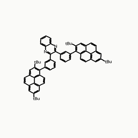 CC(C)(C)c1cc2ccc3cc(C(C)(C)C)c(-c4cccc(-c5nc6ccccc6nc5-c5cccc(-c6c(C(C)(C)C)cc7ccc8cc(C(C)(C)C)cc9ccc6c7c89)c5)c4)c4ccc(c1)c2c34